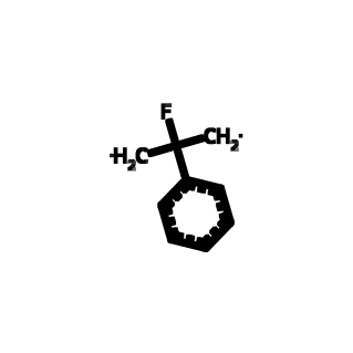 [CH2]C([CH2])(F)c1ccccc1